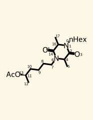 CCCCCCN1C(=O)C(C)N(CCCC[C@@H](C)OC(C)=O)C(=O)C1C